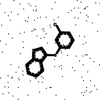 Clc1cccc(Sc2csc3ccccc23)c1